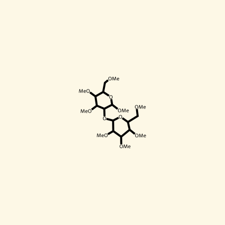 COCC1OC(OC2C(OC)OC(COC)C(OC)C2OC)C(OC)C(OC)C1OC